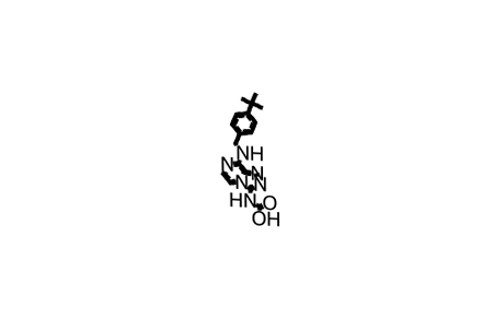 CC(C)(C)c1ccc(CNc2nccn3c(NC(=O)O)nnc23)cc1